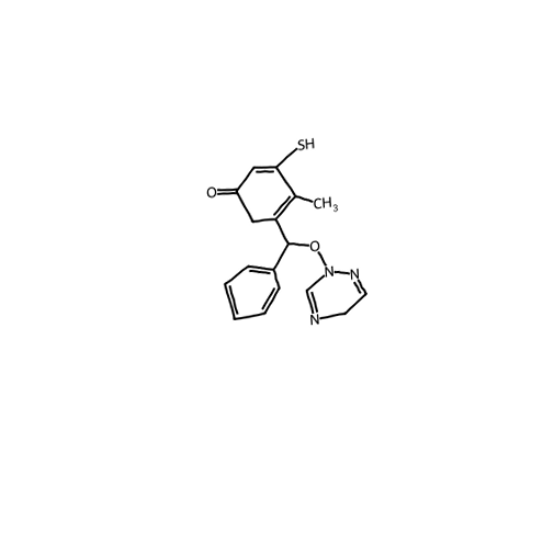 CC1=C(C(ON2C=NCC=N2)c2ccccc2)CC(=O)C=C1S